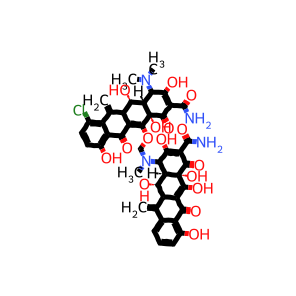 C=C1c2c(Cl)ccc(O)c2C(=O)C2=C(OCN(C)C3C(O)=C(C(N)=O)C(=O)[C@@]4(O)C(O)=C5C(=O)c6c(O)cccc6C(=C)C5[C@H](O)[C@@H]34)[C@]3(O)C(=O)C(C(N)=O)=C(O)C(N(C)C)[C@@H]3[C@@H](O)C12